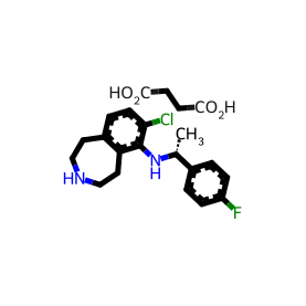 C[C@@H](Nc1c(Cl)ccc2c1CCNCC2)c1ccc(F)cc1.O=C(O)CCC(=O)O